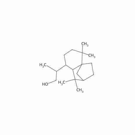 CC(CO)C1CCC(C)(C)C23CCC(C2)C(C)(C)C13